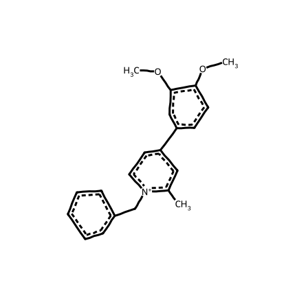 COc1ccc(-c2cc[n+](Cc3ccccc3)c(C)c2)cc1OC